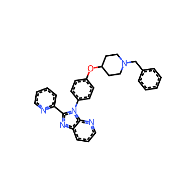 c1ccc(CN2CCC(Oc3ccc(-n4c(-c5ccccn5)nc5cccnc54)cc3)CC2)cc1